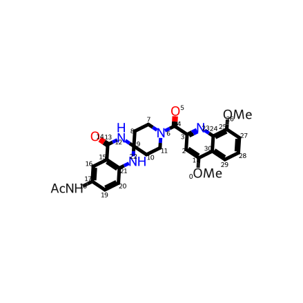 COc1cc(C(=O)N2CCC3(CC2)NC(=O)c2cc(NC(C)=O)ccc2N3)nc2c(OC)cccc12